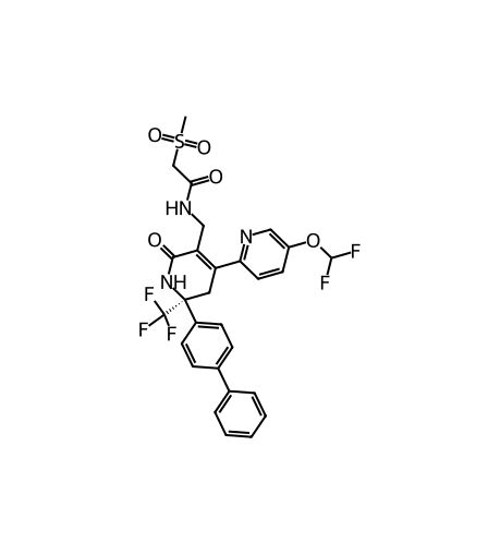 CS(=O)(=O)CC(=O)NCC1=C(c2ccc(OC(F)F)cn2)C[C@](c2ccc(-c3ccccc3)cc2)(C(F)(F)F)NC1=O